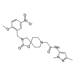 COc1ccc([N+](=O)[O-])cc1CN1CC2(CCN(CC(=O)Nc3cc(C)nn3C)CC2)OC1=O